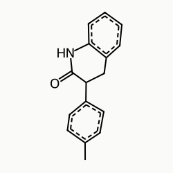 Cc1ccc(C2Cc3ccccc3NC2=O)cc1